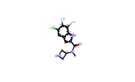 CN(C(=O)c1cc2cc(Cl)c(F)c(F)c2[nH]1)C1CNC1